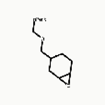 CCCCCCOCC1CCC2OC2C1